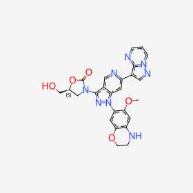 COc1cc2c(cc1-n1nc(N3C[C@@H](CO)OC3=O)c3cnc(-c4cnn5cccnc45)cc31)OCCN2